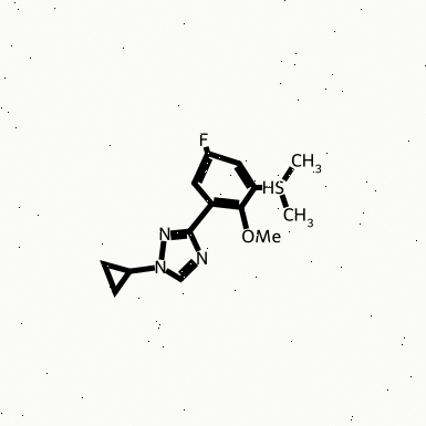 COc1c(-c2ncn(C3CC3)n2)cc(F)cc1[SH](C)C